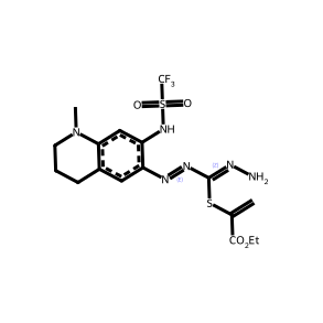 C=C(SC(=N\N)/N=N/c1cc2c(cc1NS(=O)(=O)C(F)(F)F)N(C)CCC2)C(=O)OCC